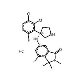 CN1C(=O)c2cc(N[C@]3(c4c(F)ccc(Cl)c4Cl)CCNC3)cc(F)c2C1(C)C.Cl